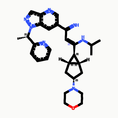 CC(C)N/C(=C\C(=N)c1cnc2cnn([C@@H](C)c3ccccn3)c2c1)[C@H]1[C@@H]2C[C@H](N3CCOCC3)C[C@@H]21